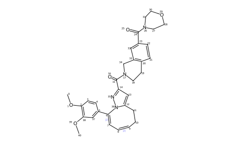 COc1ccc(/C2=C/C=C\CCc3cc(C(=O)N4CCc5ccc(C(=O)N6CCOCC6)cc5C4)nn32)cc1OC